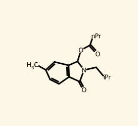 CCCC(=O)OC1c2cc(C)ccc2C(=O)N1CC(C)C